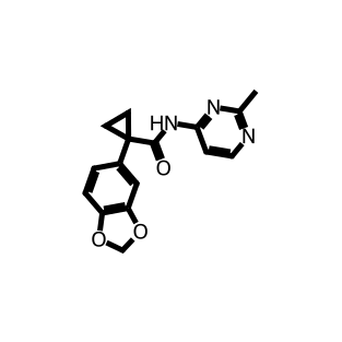 Cc1nccc(NC(=O)C2(c3ccc4c(c3)OCO4)CC2)n1